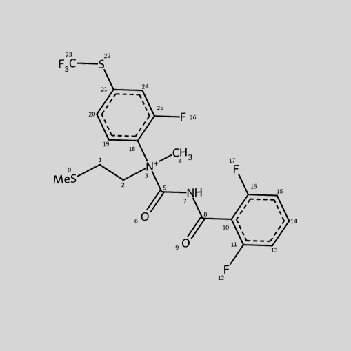 CSCC[N+](C)(C(=O)NC(=O)c1c(F)cccc1F)c1ccc(SC(F)(F)F)cc1F